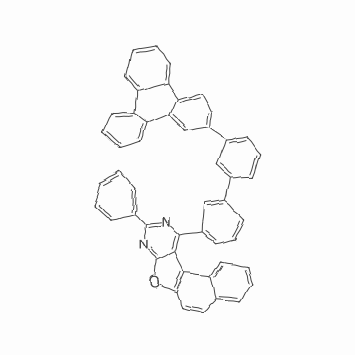 c1ccc(-c2nc(-c3cccc(-c4cccc(-c5ccc6c7ccccc7c7ccccc7c6c5)c4)c3)c3c(n2)oc2ccc4ccccc4c23)cc1